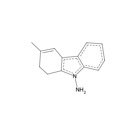 CC1=Cc2c(n(N)c3ccccc23)CC1